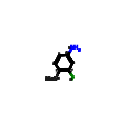 CSc1ccc(N)cc1F